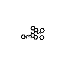 Cc1c(CPc2ccccc2)cc2ccccc2c1-c1c(CP(C2CCCCC2)C2CCCCC2)ccc2ccccc12